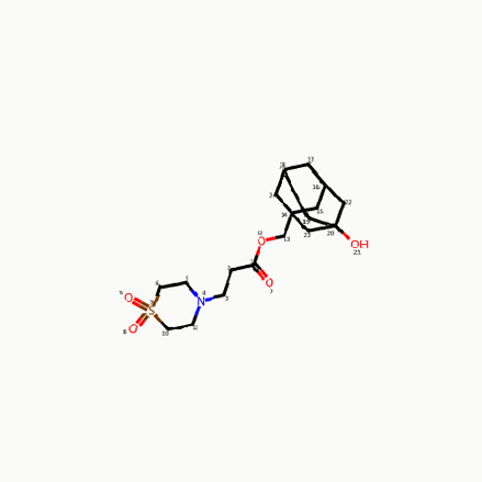 O=C(CCN1CCS(=O)(=O)CC1)OCC12CC3CC(CC(O)(C3)C1)C2